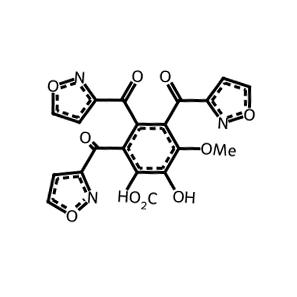 COc1c(O)c(C(=O)O)c(C(=O)c2ccon2)c(C(=O)c2ccon2)c1C(=O)c1ccon1